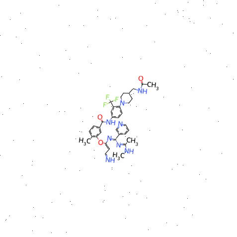 CN/C(C)=N/C(=N\C(=C\C=N)Oc1cc(C(=O)Nc2ccc(N3CCC(CNC(C)=O)CC3)c(C(F)(F)F)c2)ccc1C)c1cccnc1